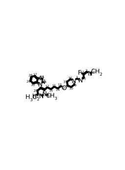 C=N/C=C(F)\C=N/CN1CCC(OCCCCC/C(=C(/CCC)n2nnc3ccccc32)N(C)N)CC1